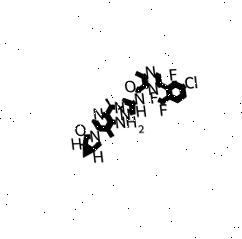 Cc1ncc(-c2c(C(F)F)ccc(Cl)c2F)nc1C(=O)Nc1cnn([C@H](C)c2ncc(N3C[C@H]4C[C@H]4C3=O)c(C)c2N)c1